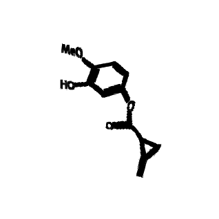 COc1ccc(OC(=O)C2CC2C)cc1O